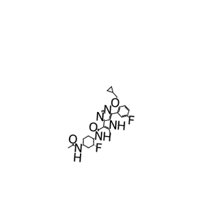 CC(=O)N[C@@H]1CC[C@H](NC(=O)c2c(C)[nH]c3c(-c4cc(F)ccc4OCC4CC4)ncnc23)[C@H](F)C1